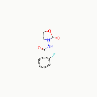 O=C(NN1CCOC1=O)c1ccccc1F